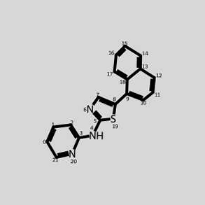 c1ccc(Nc2ncc(-c3cccc4ccccc34)s2)nc1